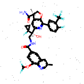 Cc1cnc2c(OC(F)F)cc(C(=O)NC[C@](O)(c3cc4c(c(-c5ccc(F)c(C(F)(F)F)c5)n3)OC[C@]4(C)C(N)=O)C3(F)CC3)cc2c1